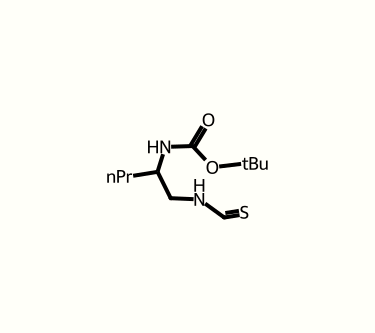 CCCC(CNC=S)NC(=O)OC(C)(C)C